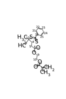 C#CC(C)(CCC(=O)OCCOC(=O)C(=C)C)SC(=S)c1ccccc1